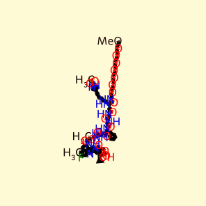 COCCOCCOCCOCCOCCOCCOCCOCCNC(=O)[C@H](CCC(=O)NCC(=O)NCC(=O)N[C@@H](Cc1ccccc1)C(=O)NCC(=O)NCO[C@@H](C)C(=O)N[C@H]1CCc2c(C)c(F)cc3nc4c(c1c23)Cn1c-4cc2c(c1=O)COC(=O)[C@]2(O)CC1CC1)NCCCCC#Cc1cnc(S(C)(=O)=O)nc1